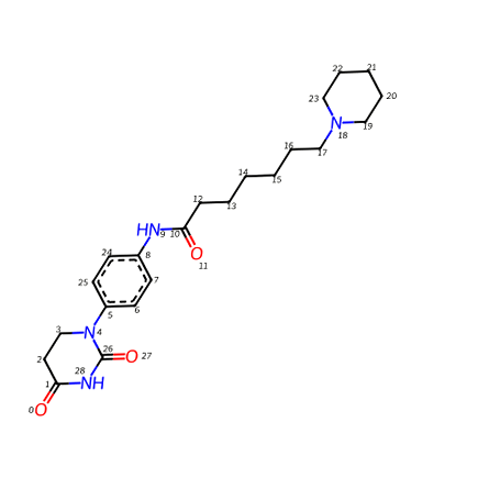 O=C1CCN(c2ccc(NC(=O)CCCCCCN3CCCCC3)cc2)C(=O)N1